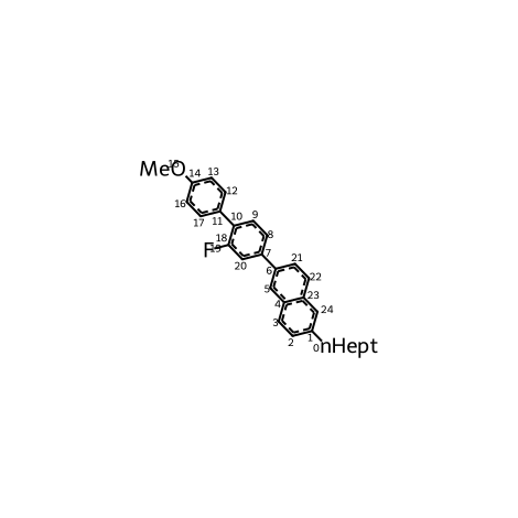 CCCCCCCc1ccc2cc(-c3ccc(-c4ccc(OC)cc4)c(F)c3)ccc2c1